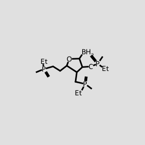 BC1OC(CCP(=C)(C)CC)C(CP(=C)(C)CC)C1CP(=C)(C)CC